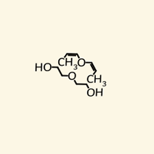 C/C=C\O/C=C\C.OCCOCCO